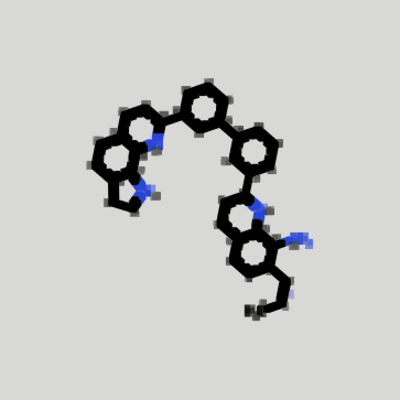 C/C=C\c1ccc2ccc(-c3cccc(-c4cccc(-c5ccc6ccc7c(c6n5)=[N+]=CC=7)c4)c3)nc2c1N